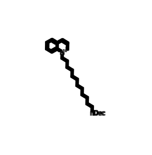 CCCCCCCCCCCCCCCCCCCCCC[n+]1cccc2ccccc21